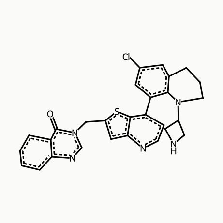 O=c1c2ccccc2ncn1Cc1cc2nccc(-c3cc(Cl)cc4c3N(C3CNC3)CCC4)c2s1